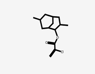 C=C(Cl)C(=O)OC1C(C)CC2CC(C)CC1C2